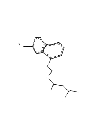 COc1ccc2cccc(CCNC(C)CC(C)C)c2c1